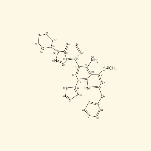 COc1nc(Oc2ccccc2)nc2c(-c3nccs3)cc(-c3cccc4c3cnn4C3CCCCO3)c(N)c12